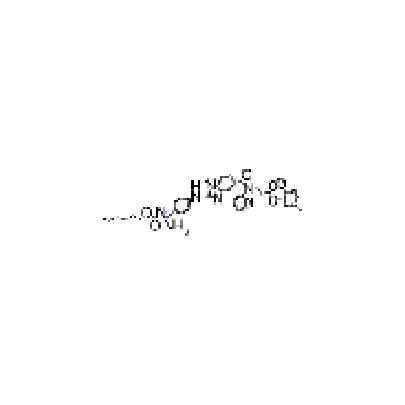 CCCCCCOC(=O)/N=C(\N)c1ccc(NCc2nc3cc(C(=O)N(CCC(=O)Oc4cc(C)ccc4OC)c4ccccn4)ccc3n2C)cc1